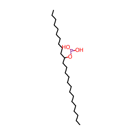 CCCCCCCCCCCCCCC(CCCCCCCCCC)OP(O)O